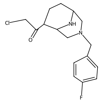 O=C(CCl)C1CCC2CN(Cc3ccc(F)cc3)CC1N2